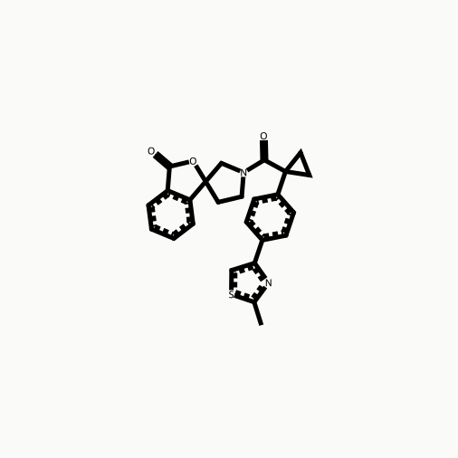 Cc1nc(-c2ccc(C3(C(=O)N4CCC5(C4)OC(=O)c4ccccc45)CC3)cc2)cs1